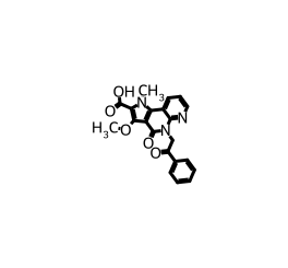 COc1c(C(=O)O)n(C)c2c1c(=O)n(CC(=O)c1ccccc1)c1ncccc21